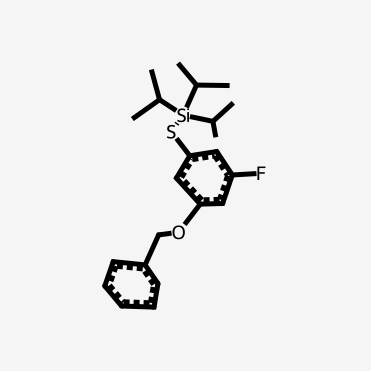 CC(C)[Si](Sc1cc(F)cc(OCc2ccccc2)c1)(C(C)C)C(C)C